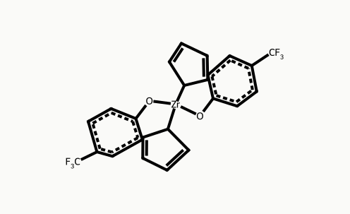 FC(F)(F)c1ccc([O][Zr]([O]c2ccc(C(F)(F)F)cc2)([CH]2C=CC=C2)[CH]2C=CC=C2)cc1